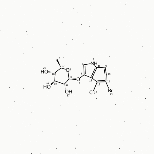 C[C@H]1O[C@@H](Oc2c[nH]c3ccc(Br)c(Cl)c23)[C@H](O)[C@@H](O)[C@@H]1O